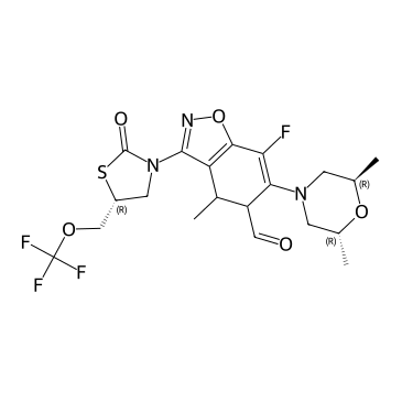 CC1c2c(N3C[C@H](COC(F)(F)F)SC3=O)noc2C(F)=C(N2C[C@@H](C)O[C@H](C)C2)C1C=O